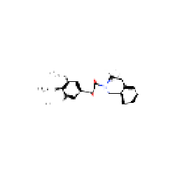 COc1cc(C(=O)C(=O)N2Cc3ccccc3C[C@H]2C(=O)O)cc(OC)c1OC